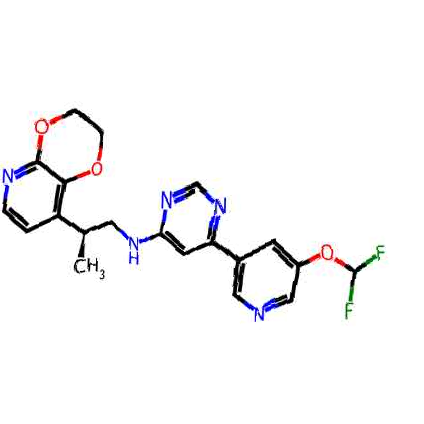 C[C@H](CNc1cc(-c2cncc(OC(F)F)c2)ncn1)c1ccnc2c1OCCO2